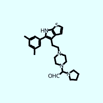 Cc1cc(C)cc(-c2[nH]c3sccc3c2CCN2CCN(C(C=O)N3CCCC3)CC2)c1